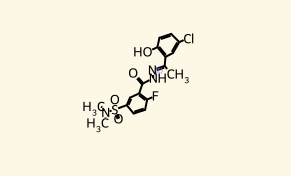 C/C(=N\NC(=O)c1cc(S(=O)(=O)N(C)C)ccc1F)c1cc(Cl)ccc1O